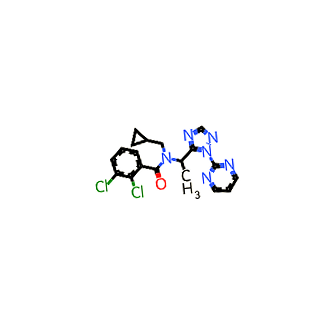 CC(c1ncnn1-c1ncccn1)N(CC1CC1)C(=O)c1cccc(Cl)c1Cl